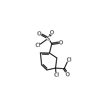 O=C(Cl)C1(Cl)C=CC=C(C(=O)S(=O)(=O)Cl)C1